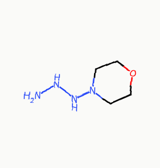 NNNN1CCOCC1